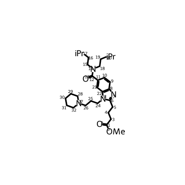 COC(=O)CCCc1nc2ccc(C(=O)N(CCC(C)C)CCC(C)C)cc2n1CCCN1CCCCC1